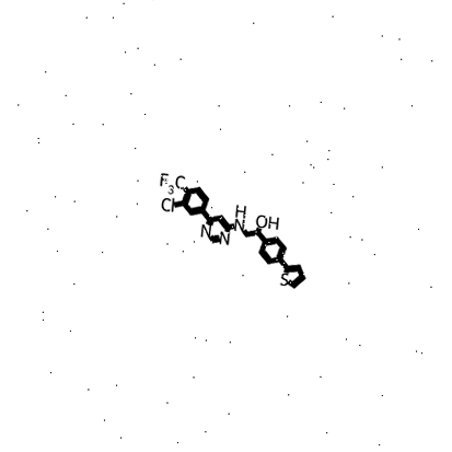 OC(CNc1cc(-c2ccc(C(F)(F)F)c(Cl)c2)ncn1)c1ccc(-c2cccs2)cc1